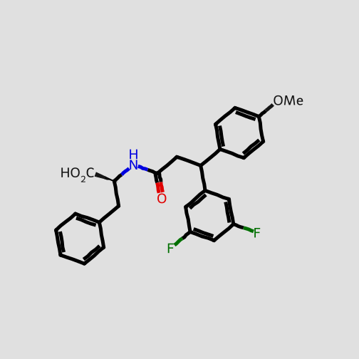 COc1ccc(C(CC(=O)N[C@@H](Cc2ccccc2)C(=O)O)c2cc(F)cc(F)c2)cc1